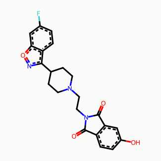 O=C1c2ccc(O)cc2C(=O)N1CCN1CCC(c2noc3cc(F)ccc23)CC1